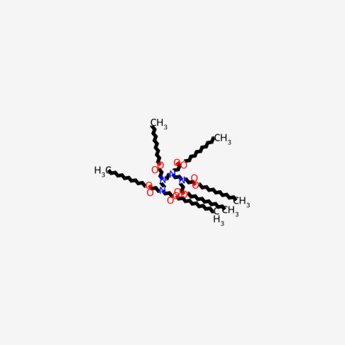 CCCCCCCCCCCCOC(=O)CCN(CCC(=O)OCCCCCCCCCCCC)CCN(CCC(=O)OCCCCCCCCCCCC)CCN(CCC(=O)OCCCCCCCCCCCC)CCN(CCC(=O)OCCCCCCCCCCCC)CCC(=O)OCCCCCCCCCCCC